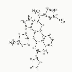 CC(CCC(c1cccnc1)C(c1cn[nH]c1)C(CCC(C)N1CCCC1)N1CCN(C)CC1)c1cnn(C)c1